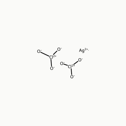 [Ag+2].[O-][Cl+2]([O-])[O-].[O-][Cl+2]([O-])[O-]